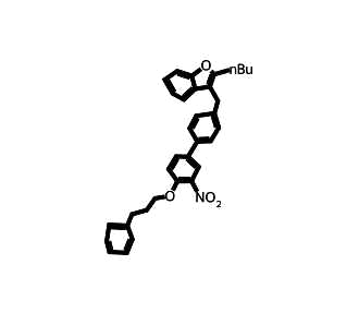 CCCCc1oc2ccccc2c1Cc1ccc(-c2ccc(OCCCc3ccccc3)c([N+](=O)[O-])c2)cc1